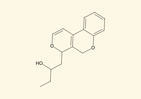 CCC(O)CC1OC=CC2=C1COc1ccccc12